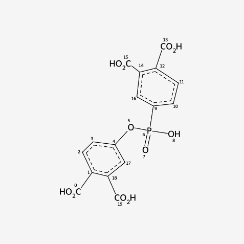 O=C(O)c1ccc(OP(=O)(O)c2ccc(C(=O)O)c(C(=O)O)c2)cc1C(=O)O